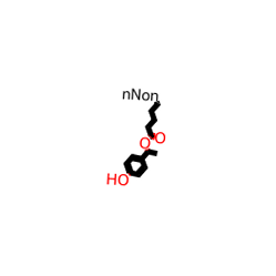 CCCCCCCCCCCCCC(=O)OC(C)c1ccc(O)cc1